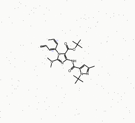 C=C/C=C(\C=C/C)n1c(N(C)C)nc(NC(=O)c2cc(C)nn2C(C)(C)C)c1C(=O)OC(C)(C)C